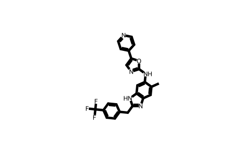 Cc1cc2nc(Cc3ccc(C(F)(F)F)cc3)[nH]c2cc1Nc1ncc(-c2ccncc2)o1